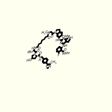 CNC(=O)c1c(F)cccc1Nc1nc(Nc2cc3c(cc2OC)CCN3C(=O)CN(C)C(=O)CCCCCC(=O)N[C@H](C(=O)N2C[C@H](O)C[C@H]2C(=O)NCc2ccc(-c3scnc3C)cc2)C(C)(C)C)nc2[nH]ccc12